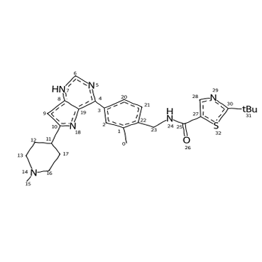 Cc1cc(-c2nc[nH]c3cc(C4CCN(C)CC4)nc2-3)ccc1CNC(=O)c1cnc(C(C)(C)C)s1